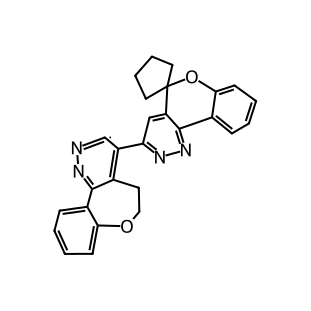 [c]1nnc2c(c1-c1cc3c(nn1)-c1ccccc1OC31CCCC1)CCOc1ccccc1-2